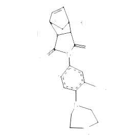 O=C1C2C(C(=O)N1c1ccc(N3CCOCC3)c(Cl)c1)[C@H]1C=C[C@@H]2C1